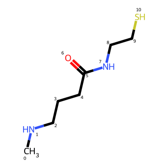 CNCCCC(=O)NCCS